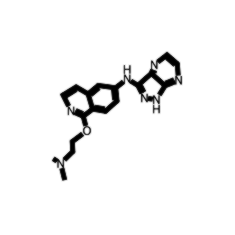 CN(C)CCOc1nccc2cc(Nc3n[nH]c4nccnc34)ccc12